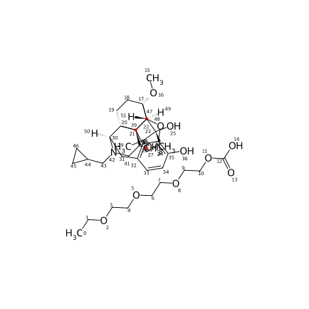 CCOCCOCCOCCOC(=O)O.CO[C@@]12CC[C@@]3(C[C@@H]1[C@](C)(O)C(C)(C)C)[C@H]1Cc4ccc(O)c5c4[C@@]3(CCN1CC1CC1)[C@H]2O5